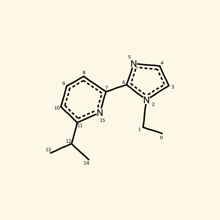 CCn1ccnc1-c1cccc(C(C)C)n1